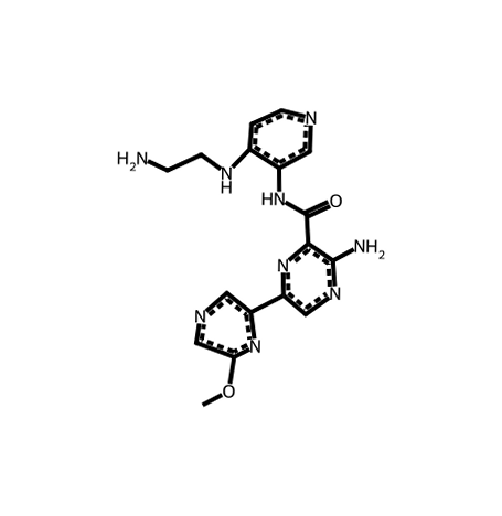 COc1cncc(-c2cnc(N)c(C(=O)Nc3cnccc3NCCN)n2)n1